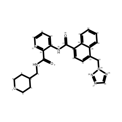 O=C(NCC1CCOCC1)c1ncccc1NC(=O)c1ccc(Cn2ncnn2)c2ccccc12